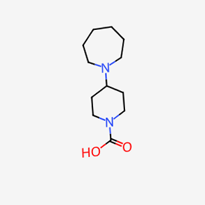 O=C(O)N1CCC(N2CCCCCC2)CC1